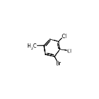 Cc1cc(Cl)c(Cl)c(Br)c1